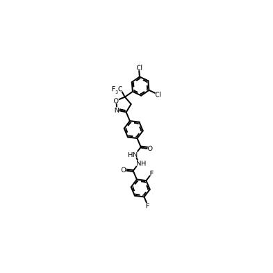 O=C(NNC(=O)c1ccc(F)cc1F)c1ccc(C2=NOC(c3cc(Cl)cc(Cl)c3)(C(F)(F)F)C2)cc1